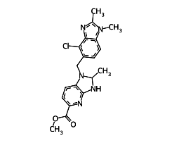 COC(=O)c1ccc2c(n1)NC(C)N2Cc1ccc2c(nc(C)n2C)c1Cl